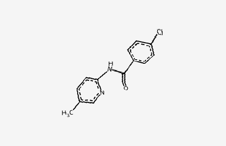 Cc1ccc(NC(=O)c2ccc(Cl)cc2)nc1